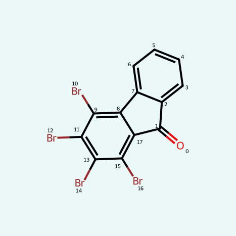 O=C1c2ccccc2-c2c(Br)c(Br)c(Br)c(Br)c21